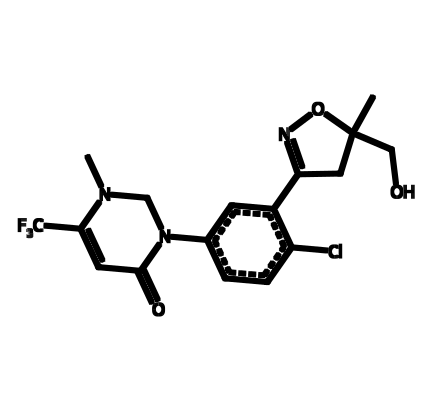 CN1CN(c2ccc(Cl)c(C3=NOC(C)(CO)C3)c2)C(=O)C=C1C(F)(F)F